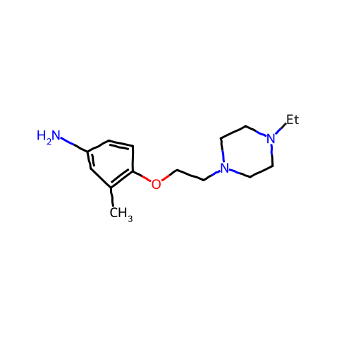 CCN1CCN(CCOc2ccc(N)cc2C)CC1